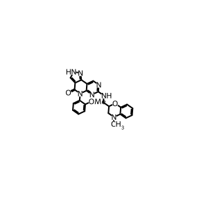 COc1ccccc1-n1c(=O)c2c[nH]nc2c2cnc(NCC3CN(C)c4ccccc4O3)nc21